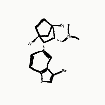 CN(C)C[C@H]1[C@H]2CC[C@H](C2)[C@H]1c1ccc2scc(Br)c2c1